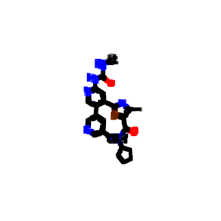 CCNC(=O)Nc1cc(-c2nc(C)c(C(=O)NC3CCCC3)s2)c(-c2cncc(C(=O)O)c2)cn1